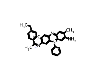 CCc1ccc(/C(C)=N\c2cc3c(cc2C)nc2cc(C)c(N)cc2[n+]3-c2ccccc2)cc1